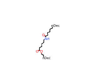 CCCCCCCCCCCCCCCC(=O)NCCCCCC(=O)OCCCCCCCCCCCC